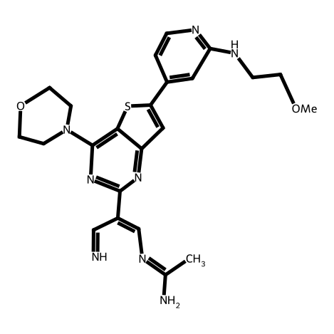 COCCNc1cc(-c2cc3nc(/C(C=N)=C/N=C(\C)N)nc(N4CCOCC4)c3s2)ccn1